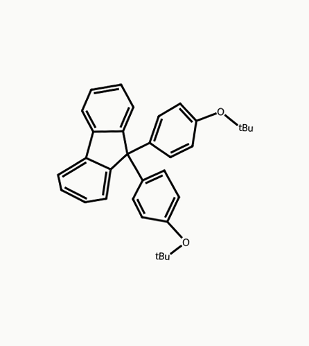 CC(C)(C)Oc1ccc(C2(c3ccc(OC(C)(C)C)cc3)c3ccccc3-c3ccccc32)cc1